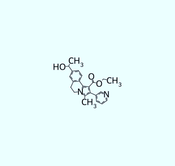 CCOC(=O)c1c(-c2cccnc2)c(C)n2c1-c1ccc(C(C)O)cc1CC2